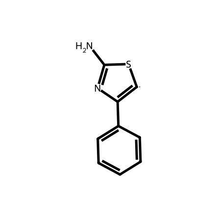 Nc1nc(-c2ccccc2)[c]s1